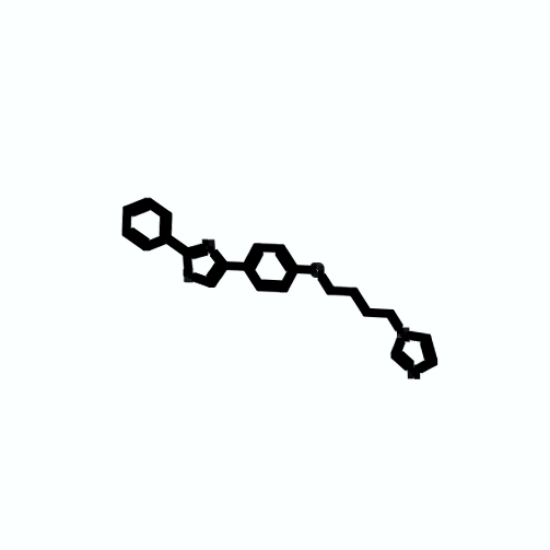 c1ccc(-c2nc(-c3ccc(OCCCCn4ccnc4)cc3)cs2)cc1